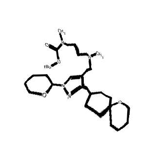 CN(CCN(C)C(=O)OC(C)(C)C)Cc1cn(C2CCCCO2)nc1C1CCC2(CCCCO2)CC1